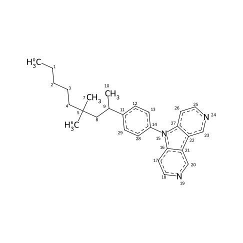 CCCCCC(C)(C)CC(C)c1ccc(-n2c3ccncc3c3cnccc32)cc1